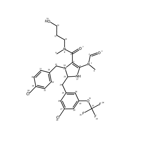 CN(C=O)C1=C(C(=O)N(C)CCCO)N(Cc2ccc(Cl)cc2)C(Cc2cc(Cl)cc(OC(F)(F)F)c2)N1